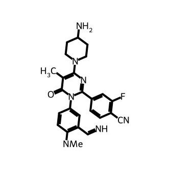 CNc1ccc(-n2c(-c3ccc(C#N)c(F)c3)nc(N3CCC(N)CC3)c(C)c2=O)cc1C=N